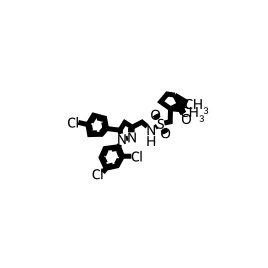 CC1(C)C2CCC1(CS(=O)(=O)NCC1=NN(c3ccc(Cl)cc3Cl)C(c3ccc(Cl)cc3)C1)C(=O)C2